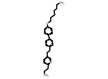 CCCCCCCOc1ccc(-c2ccc(CCc3ccc(CCC)nc3)cc2)cc1